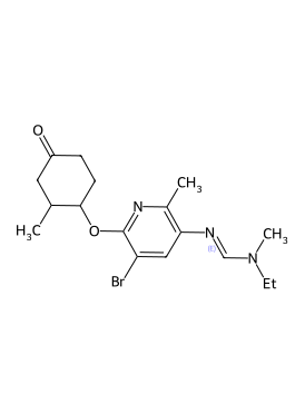 CCN(C)/C=N/c1cc(Br)c(OC2CCC(=O)CC2C)nc1C